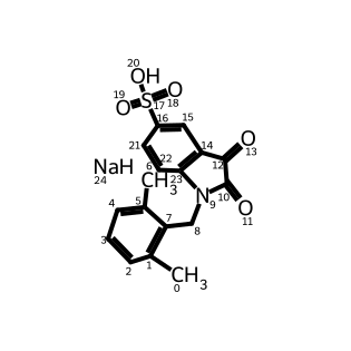 Cc1cccc(C)c1CN1C(=O)C(=O)c2cc(S(=O)(=O)O)ccc21.[NaH]